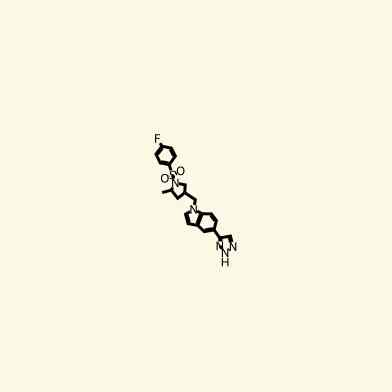 CC1CC(Cn2ccc3cc(-c4cn[nH]n4)ccc32)CN1S(=O)(=O)c1ccc(F)cc1